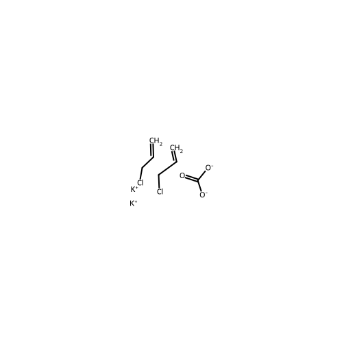 C=CCCl.C=CCCl.O=C([O-])[O-].[K+].[K+]